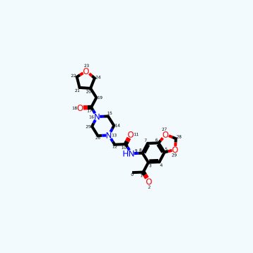 CC(=O)c1cc2c(cc1NC(=O)CN1CCN(C(=O)CC3CCOC3)CC1)OCO2